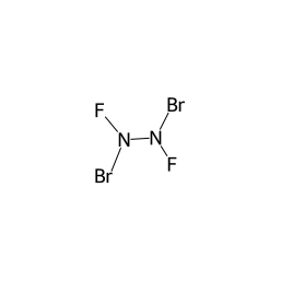 FN(Br)N(F)Br